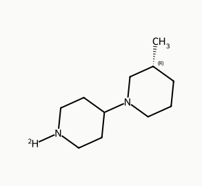 [2H]N1CCC(N2CCC[C@@H](C)C2)CC1